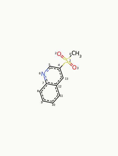 CS(=O)(=O)c1cnc2ccccc2c1